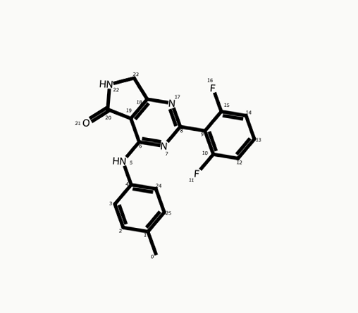 Cc1ccc(Nc2nc(-c3c(F)cccc3F)nc3c2C(=O)NC3)cc1